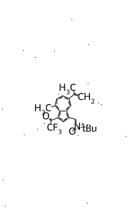 C=C(C)c1ccc(C)c2c(C(=O)C(F)(F)F)cc(C=[N+]([O-])C(C)(C)C)c-2c1